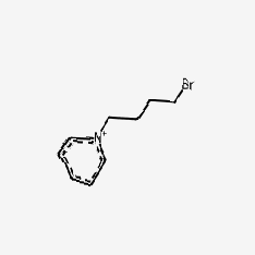 BrCCCC[n+]1ccccc1